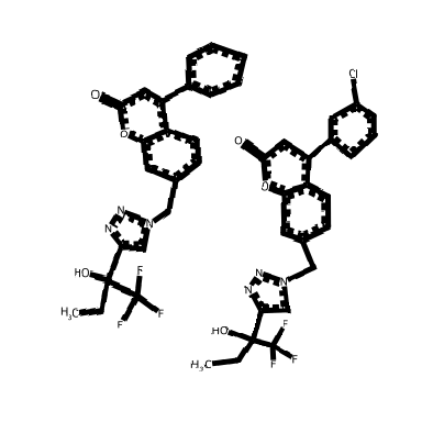 CCC(O)(c1cn(Cc2ccc3c(-c4cccc(Cl)c4)cc(=O)oc3c2)nn1)C(F)(F)F.CCC(O)(c1cn(Cc2ccc3c(-c4ccccc4)cc(=O)oc3c2)nn1)C(F)(F)F